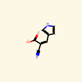 N#CC(=Cc1cc[nH]c1)C(=O)O